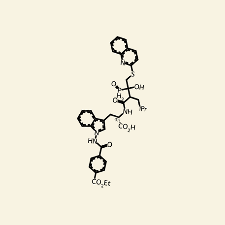 CCOC(=O)c1ccc(C(=O)Nn2cc(C[C@H](NC(=O)C(CC(C)C)C(O)(CSc3ccc4ccccc4n3)[PH2]=O)C(=O)O)c3ccccc32)cc1